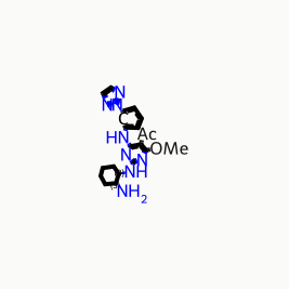 COc1nc(N[C@@H]2CCCC[C@@H]2N)nc(Nc2cccc(-n3nccn3)c2)c1C(C)=O